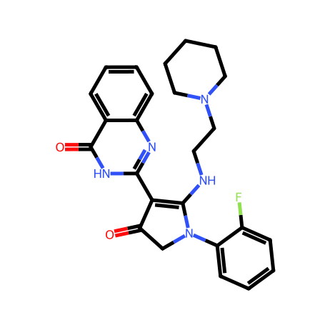 O=C1CN(c2ccccc2F)C(NCCN2CCCCC2)=C1c1nc2ccccc2c(=O)[nH]1